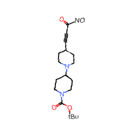 CC(C)(C)OC(=O)N1CCC(N2CCC(C#CC(=O)N=O)CC2)CC1